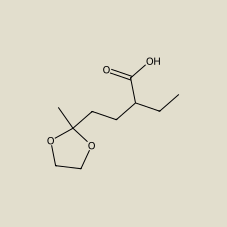 CCC(CCC1(C)OCCO1)C(=O)O